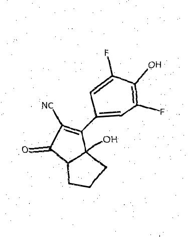 N#CC1=C(c2cc(F)c(O)c(F)c2)C2(O)CCCC2C1=O